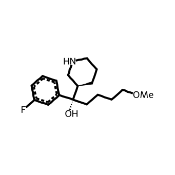 COCCCC[C@@](O)(c1cccc(F)c1)[C@@H]1CCCNC1